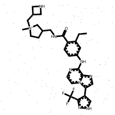 CCc1cc(Nc2nccn3c(-c4c[nH]nc4C(F)(F)F)cnc23)ccc1C(=O)NCC1CC[N+](C)(CC2CNC2)C1